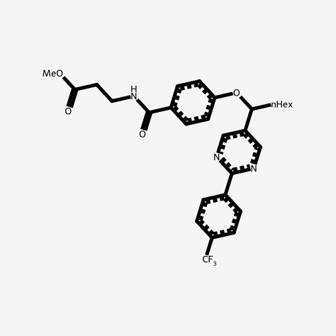 CCCCCCC(Oc1ccc(C(=O)NCCC(=O)OC)cc1)c1cnc(-c2ccc(C(F)(F)F)cc2)nc1